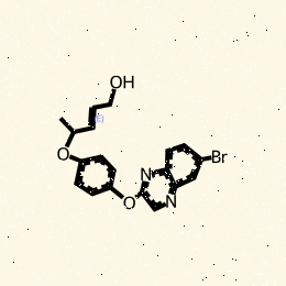 CC(/C=C/CO)Oc1ccc(Oc2cnc3cc(Br)ccc3n2)cc1